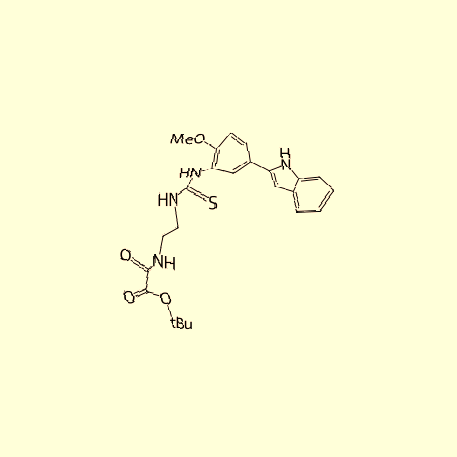 COc1ccc(-c2cc3ccccc3[nH]2)cc1NC(=S)NCCNC(=O)C(=O)OC(C)(C)C